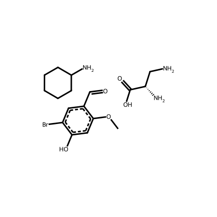 COc1cc(O)c(Br)cc1C=O.NC1CCCCC1.NC[C@H](N)C(=O)O